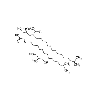 CC(C)CCCCCCCCCCCCCC(CC(O)CO)C(=O)O.CC(C)CCCCCCCCCCCCCCC(=O)O.OCC(O)CO